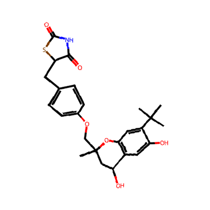 CC1(COc2ccc(CC3SC(=O)NC3=O)cc2)CC(O)c2cc(O)c(C(C)(C)C)cc2O1